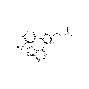 Cc1ccc(-c2nc(CCN(C)C)[nH]c2-c2ccnc3[nH]ccc23)cc1C(=O)O